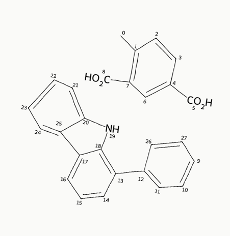 Cc1ccc(C(=O)O)cc1C(=O)O.c1ccc(-c2cccc3c2[nH]c2ccccc23)cc1